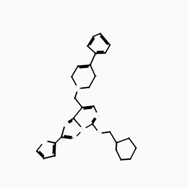 C1=C(c2ccccc2)CCN(Cc2cnc(NCC3CCCCC3)n3nc(-c4ccco4)nc23)C1